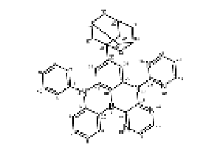 c1ccc(N2c3ccccc3B3c4nccnc4N(c4ncccn4)c4cc(C56CC7CC(CC(C7)C5)C6)cc2c43)cc1